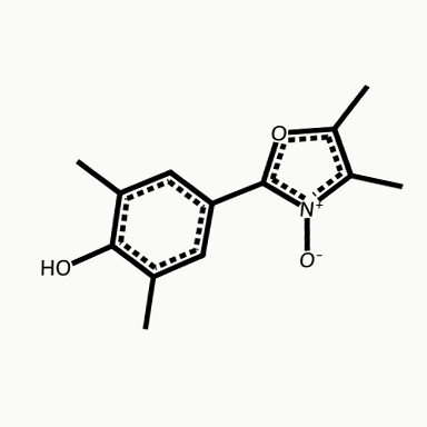 Cc1cc(-c2oc(C)c(C)[n+]2[O-])cc(C)c1O